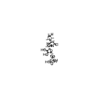 O=P(O)(O)CP(=O)(O)OC[C@H]1O[C@@H](c2cnc3c(N4CC5C[C@@H]5C4)cc(Cl)nn23)[C@H](O)[C@@H]1O